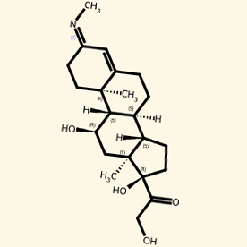 C/N=C1\C=C2CC[C@@H]3[C@H]([C@H](O)C[C@@]4(C)[C@H]3CC[C@]4(O)C(=O)CO)[C@@]2(C)CC1